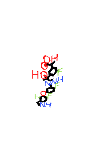 CC(C(=O)O)c1cc(F)cc(C(C)(O)c2c[nH]c(-c3cc(Oc4c(F)cc5[nH]ccc5c4F)ccc3F)n2)c1